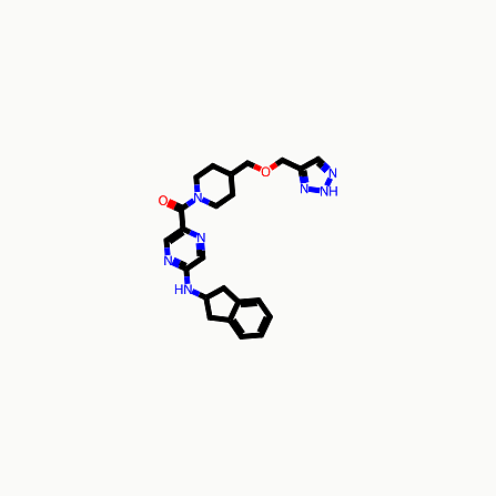 O=C(c1cnc(NC2Cc3ccccc3C2)cn1)N1CCC(COCc2cn[nH]n2)CC1